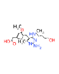 COc1cc(CC(=O)O)ccc1Cc1c(C)nc(N)nc1NC(C)CCCCO